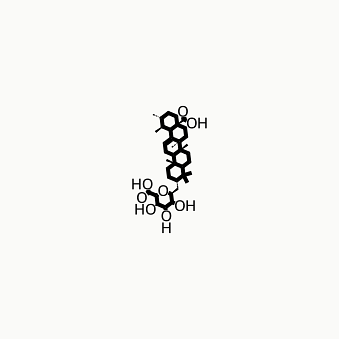 C[C@@H]1CC[C@]2(C(=O)O)CC[C@]3(C)C(=CCC4[C@@]5(C)CC[C@@H](C[C@@H]6OC(C(=O)O)[C@@H](O)C(O)C6O)C(C)(C)C5CC[C@]43C)C2[C@H]1C